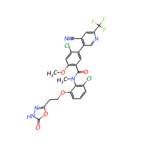 COc1cc(Cl)c(-c2cnc(C(F)(F)F)cc2C#N)cc1C(=O)N(C)c1c(Cl)cccc1OCCc1n[nH]c(=O)o1